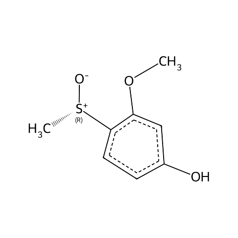 COc1cc(O)ccc1[S@+](C)[O-]